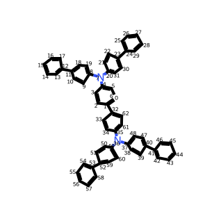 C=C(/C=C\C(=C/C)N(c1ccc(-c2ccccc2)cc1)c1ccc(-c2ccccc2)cc1)c1ccc(N(c2ccc(-c3ccccc3)cc2)c2ccc(-c3ccccc3)cc2)cc1